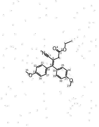 CCOC(=O)CC(C#N)=C(c1ccc(OC)cc1)c1ccc(OC)cc1